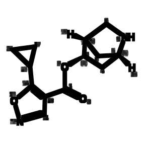 O=C(O[C@@H]1C[C@@H]2C[C@H]1CN2)c1cnoc1C1CC1